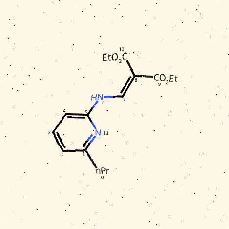 CCCc1cccc(NC=C(C(=O)OCC)C(=O)OCC)n1